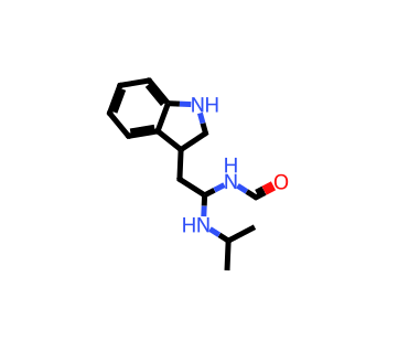 CC(C)NC(CC1CNc2ccccc21)NC=O